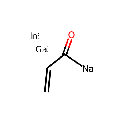 C=C[C](=O)[Na].[Ga].[In]